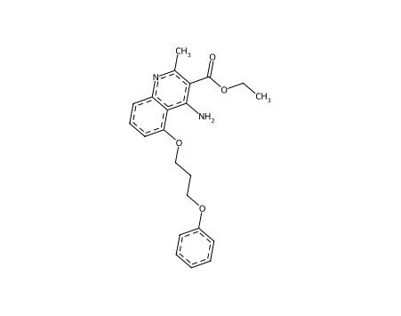 CCOC(=O)c1c(C)nc2cccc(OCCCOc3ccccc3)c2c1N